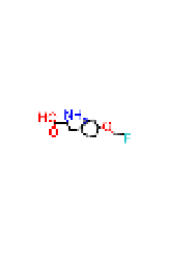 NC(Cc1ccc(OCCF)cc1)C(=O)O